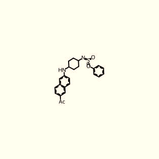 CC(=O)c1ccc2cc(NC3CCC(N=[SH](=O)Oc4ccccc4)CC3)ccc2c1